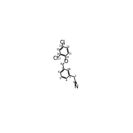 N#CCc1cccc(COc2ccc(Cl)cc2Cl)c1